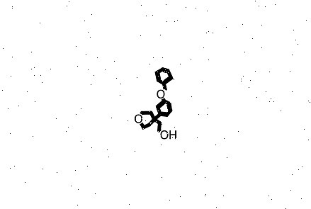 OCCC1(c2cccc(OCc3ccccc3)c2)CCOCC1